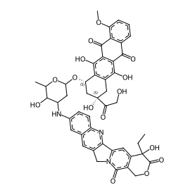 CCC1(O)C(=O)OCc2c1cc1n(c2=O)Cc2cc3cc(NC4CC(O[C@H]5C[C@](O)(C(=O)CO)Cc6c(O)c7c(c(O)c65)C(=O)c5c(OC)cccc5C7=O)OC(C)C4O)ccc3nc2-1